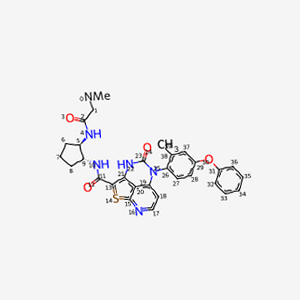 CNCC(=O)N[C@@H]1CCC[C@H]1NC(=O)c1sc2nccc3c2c1NC(=O)N3c1ccc(Oc2ccccc2)cc1C